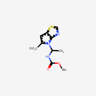 CCOC(=O)c1cc2scnc2n1C(C)NC(=O)OC(C)(C)C